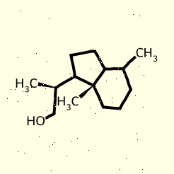 CC1CCC[C@@]2(C)C1CCC2[C@H](C)CO